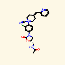 CC(=O)NC[C@H]1CN(c2ccc([N+]3(C#N)CCC(=Cc4ccccn4)CC3)c(F)c2)C(=O)O1